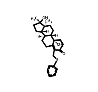 C[C@]12CCC(=O)C(CSc3ccccc3)=C1CC[C@@H]1[C@@H]2CC[C@@]2(C)[C@H]1CC[C@]2(C)O